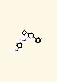 NCc1ccc(NC(=O)N2c3nc(-c4cccc(C(F)(F)F)c4)ccc3C3CCC32)cc1